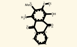 CCOc1c(O)c2c(c(N)c1OC)C(=O)c1ccccc1C2=O